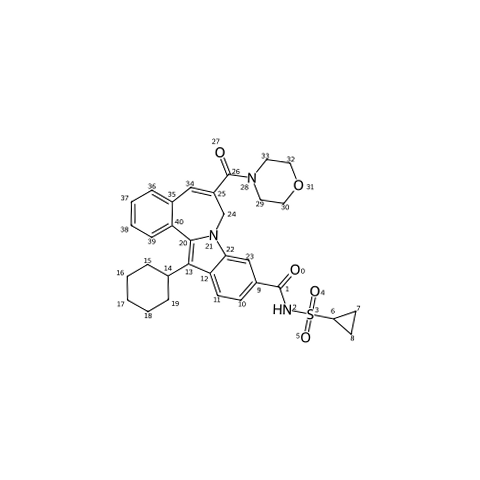 O=C(NS(=O)(=O)C1CC1)c1ccc2c(C3CCCCC3)c3n(c2c1)CC(C(=O)N1CCOCC1)=Cc1ccccc1-3